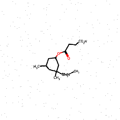 CC1CC(OC(=O)CCC(=O)O)CC(C)(C)C1.CNC